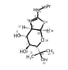 CCCNC1=N[C@@H]2[C@@H](O)[C@H](O)[C@@H](C(C)(C)O)O[C@@H]2S1